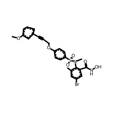 COc1cccc(C#CCOc2ccc(S(=O)(=O)N(C)c3c(C)cc(Br)cc3C(=O)NO)cc2)c1